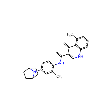 C=C(Nc1ccc(N2C3CCC2CC3)cc1C(F)(F)F)C1=CNc2cccc(C(F)(F)F)c2C1=C